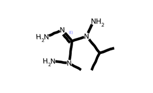 CC(C)N(N)/C(=N/N)N(C)N